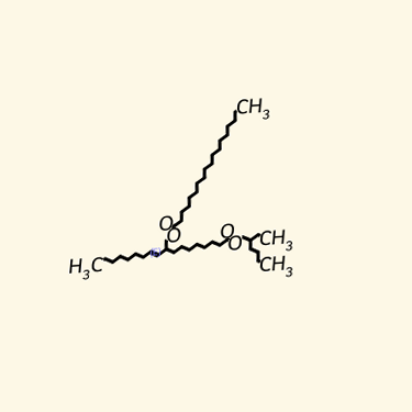 CCCCCCC/C=C/C(CCCCCCCC(=O)OCC(CC)CCCC)COC(=O)CCCCCCCCCCCCCCCCC